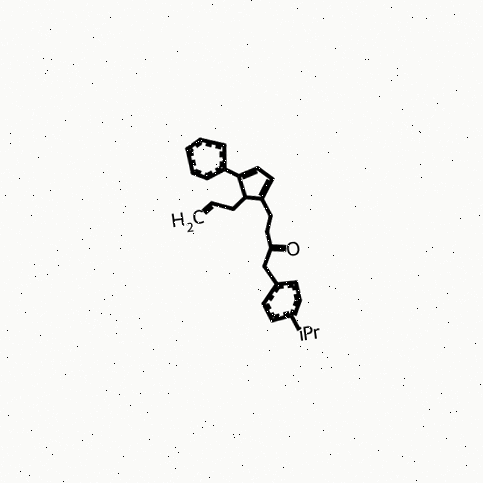 C=CCC1C(CCC(=O)Cc2ccc(C(C)C)cc2)=CC=C1c1ccccc1